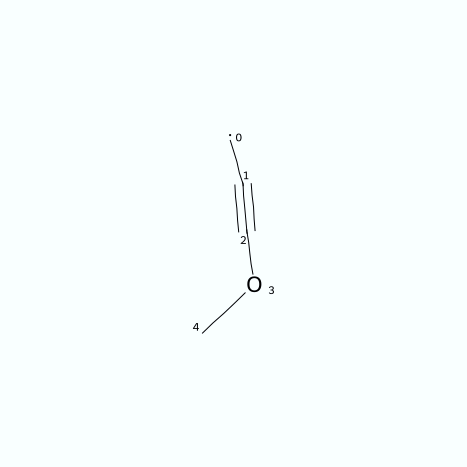 [CH2]C#COC